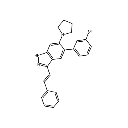 Oc1cccc(-c2cc3c(/C=C/c4ccccc4)n[nH]c3cc2N2CCCC2)c1